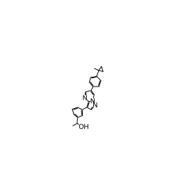 CC(O)c1cccc(-c2cnn3cc(-c4ccc(C5(C)CC5)cc4)cnc23)c1